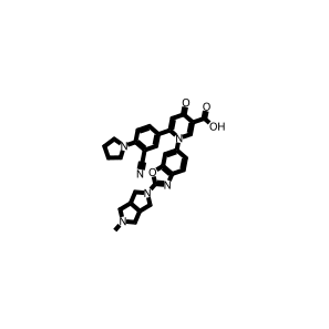 CN1CC2CN(c3nc4ccc(-n5cc(C(=O)O)c(=O)cc5-c5ccc(N6CCCC6)c(C#N)c5)cc4o3)CC2C1